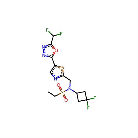 CCS(=O)(=O)N(Cc1ncc(-c2nnc(C(F)F)o2)s1)C1CC(F)(F)C1